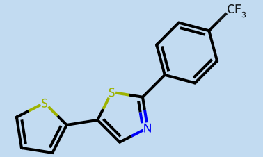 FC(F)(F)c1ccc(-c2ncc(-c3cccs3)s2)cc1